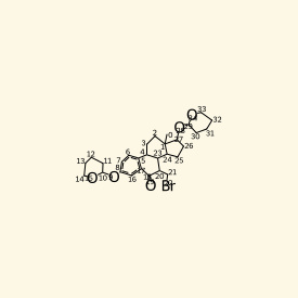 CC12CCC3c4ccc(OC5CCCCO5)cc4C(=O)C(CBr)C3C1CCC2OC1CCCCO1